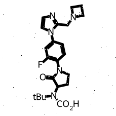 CC(C)(C)N(C(=O)O)C1CCN(c2ccc(-n3ccnc3CN3CCC3)cc2F)C1=O